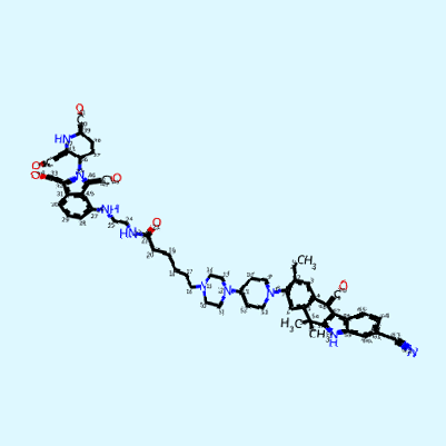 CCc1cc2c(cc1N1CCC(N3CCN(CCCCCC(=O)NCCNc4cccc5c(=C=O)n(C6CCC(=C=O)NC6=C=O)c(=C=O)c45)CC3)CC1)C(C)(C)c1[nH]c3cc(C#N)ccc3c1C2=C=O